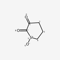 O=C1CCC[S+]([O-])C1=O